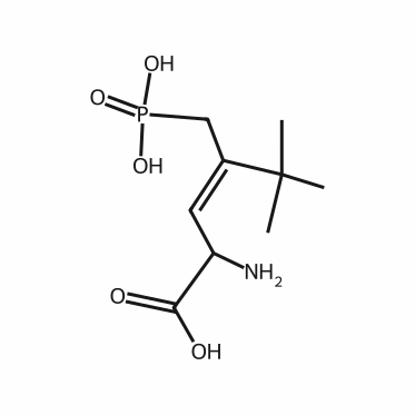 CC(C)(C)/C(=C\C(N)C(=O)O)CP(=O)(O)O